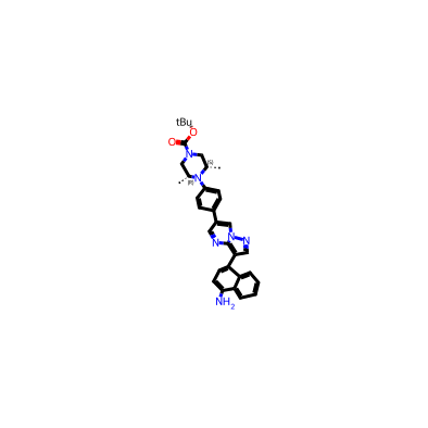 C[C@@H]1CN(C(=O)OC(C)(C)C)C[C@H](C)N1c1ccc(-c2cnc3c(-c4ccc(N)c5ccccc45)cnn3c2)cc1